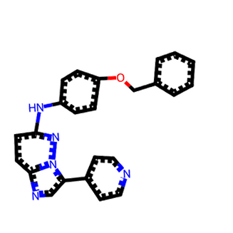 c1ccc(COc2ccc(Nc3ccc4ncc(-c5ccncc5)n4n3)cc2)cc1